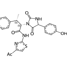 CC(=O)c1csc(NC(=O)[C@H]([C@@H](C)c2ccccc2)N2C(=O)NC(c3ccc(O)cc3)C2=O)n1